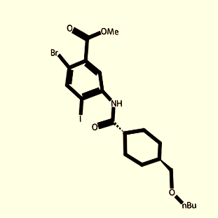 CCCCOC[C@H]1CC[C@H](C(=O)Nc2cc(C(=O)OC)c(Br)cc2I)CC1